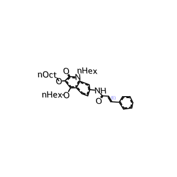 CCCCCCCCOc1c(OCCCCCC)c2ccc(NC(=O)/C=C/c3ccccc3)cc2n(CCCCCC)c1=O